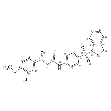 COc1ccc(C(=O)NC(=S)Nc2ccc(S(=O)(=O)N3CCc4ccccc43)cc2)cc1I